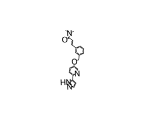 CN(C)C(=O)/C=C/c1cccc(COc2ccc(-c3ccn[nH]3)nc2)c1